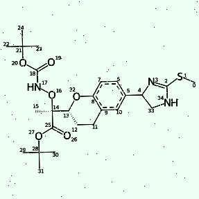 CSC1=NC(c2ccc3c(c2)CC[C@H]([C@](C)(ONC(=O)OC(C)(C)C)C(=O)OC(C)(C)C)O3)CN1